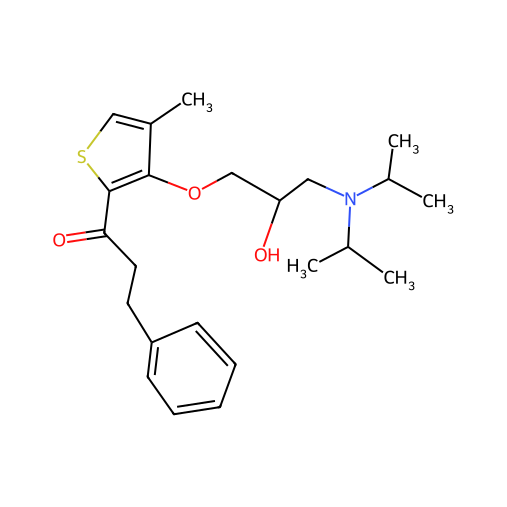 Cc1csc(C(=O)CCc2ccccc2)c1OCC(O)CN(C(C)C)C(C)C